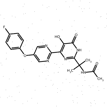 CC(=O)NC(C)(C)c1nc(-c2ncc(Oc3ccc(F)cc3)cn2)c(O)c(=O)[nH]1